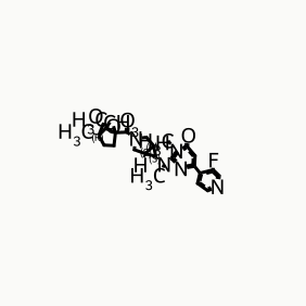 CN(c1nc(-c2ccncc2F)cc(=O)n1C)[C@H]1[C@@H]2CN(C(=O)C34CC[C@@](C)(C(=O)O3)C4(C)C)C[C@@H]21